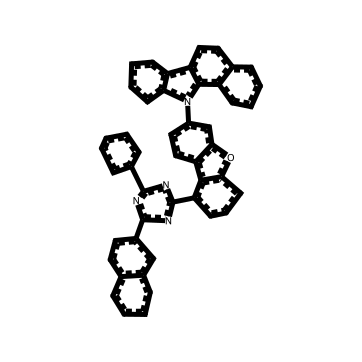 c1ccc(-c2nc(-c3ccc4ccccc4c3)nc(-c3cccc4oc5cc(-n6c7ccccc7c7ccc8ccccc8c76)ccc5c34)n2)cc1